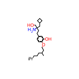 CC(C)CCCC(C)CCOc1ccc(CCC(N)(CO)CC2CCC2)cc1O